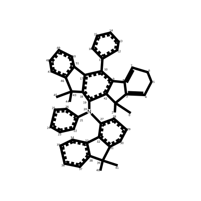 CC1(C)C2=CCCC=C2c2c(-c3ccccc3)c3c(c(N(c4ccccc4)c4cccc5c4-c4ccccc4C5(C)C)c21)C(C)(C)c1ccccc1-3